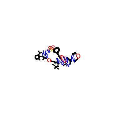 Cc1cccc(C(C)C)c1-c1nc2nc(c1C)OC[C@@H](CC(C)(C)C)N(Cc1ncc(N3CCOCC3)cn1)C(=O)c1cccc(c1)S(=O)(=O)N2